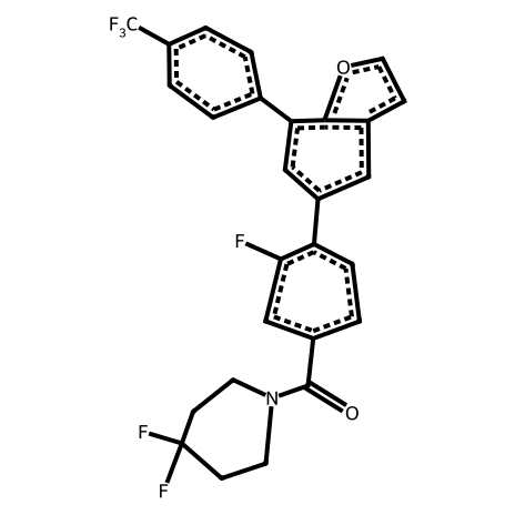 O=C(c1ccc(-c2cc(-c3ccc(C(F)(F)F)cc3)c3occc3c2)c(F)c1)N1CCC(F)(F)CC1